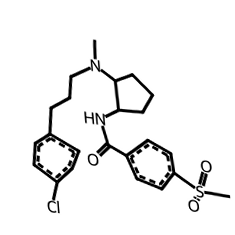 CN(CCCc1ccc(Cl)cc1)C1CCCC1NC(=O)c1ccc(S(C)(=O)=O)cc1